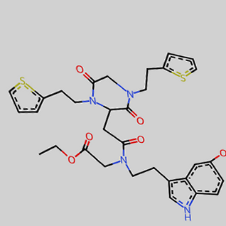 CCOC(=O)CN(CCc1c[nH]c2ccc(OC)cc12)C(=O)CC1C(=O)N(CCc2cccs2)CC(=O)N1CCc1cccs1